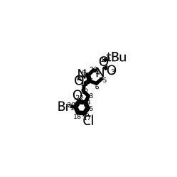 CC(C)(C)OC(=O)N1CCc2c(noc2C2Cc3cc(Cl)cc(Br)c3O2)C1